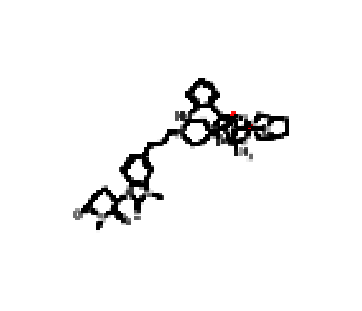 CN1C(=O)CCC(n2c(=O)n(C)c3cc(CCCN4CCC(c5cnc(N6C7CCC6CN(c6cc(-c8ccccc8O)nnc6N)C7)nc5)CC4)ccc32)C1=O